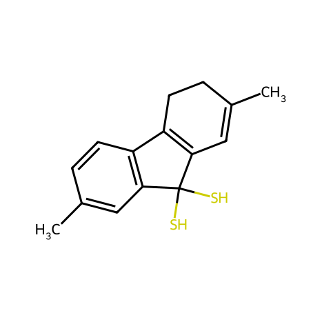 CC1=CC2=C(CC1)c1ccc(C)cc1C2(S)S